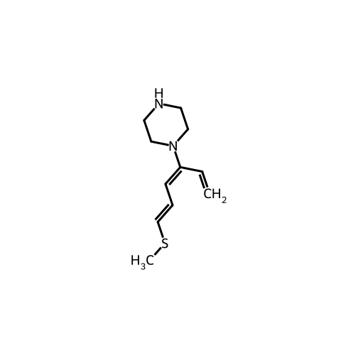 C=C/C(=C\C=C\SC)N1CCNCC1